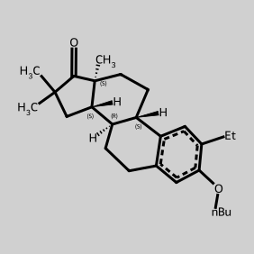 CCCCOc1cc2c(cc1CC)[C@H]1CC[C@]3(C)C(=O)C(C)(C)C[C@H]3[C@@H]1CC2